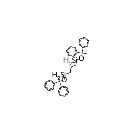 CC(O[SiH2]CCC[SiH2]OC(C)(c1ccccc1)c1ccccc1)(c1ccccc1)c1ccccc1